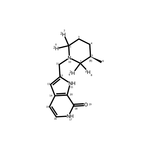 [2H]C1([2H])CC[C@@H](C)C([2H])([2H])N1Cc1cc2cc[nH]c(=O)c2[nH]1